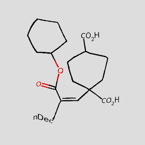 CCCCCCCCCCC(=CC1(C(=O)O)CCC(C(=O)O)CC1)C(=O)OC1CCCCC1